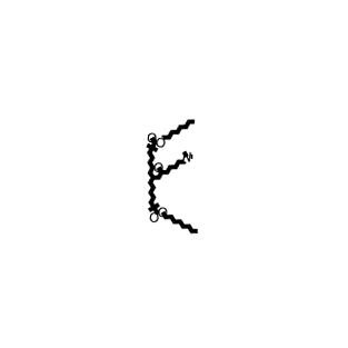 CCCCCCCCOC(=O)C(C)(C)CCCCCC(CCCCCC(C)(C)C(=O)OCCCCCCCC)CC(=O)CCCCCN(C)C